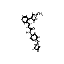 Cn1cc(-c2ccncc2/C=C/C(=O)Nc2ccc(Cn3cccn3)cc2)cn1